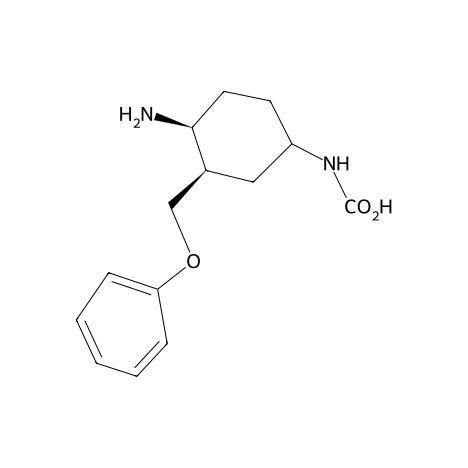 N[C@H]1CCC(NC(=O)O)C[C@H]1COc1ccccc1